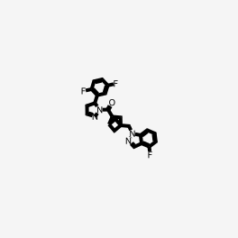 O=C(C1CC2(Cn3ncc4c(F)cccc43)CC1C2)N1N=CCC1c1cc(F)ccc1F